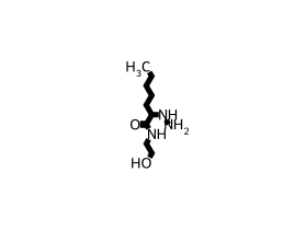 CCCCCC(NN)C(=O)NCCO